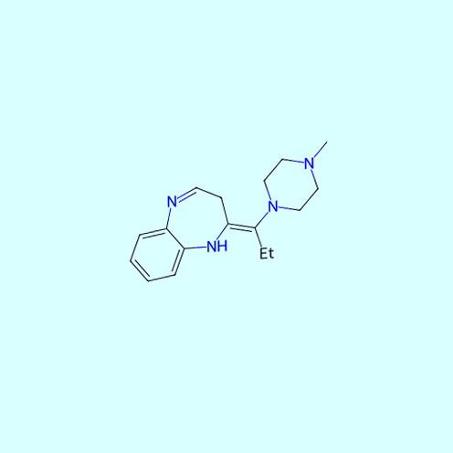 CCC(=C1CC=Nc2ccccc2N1)N1CCN(C)CC1